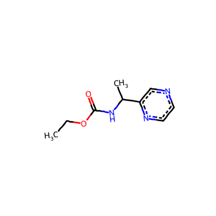 CCOC(=O)NC(C)c1cnccn1